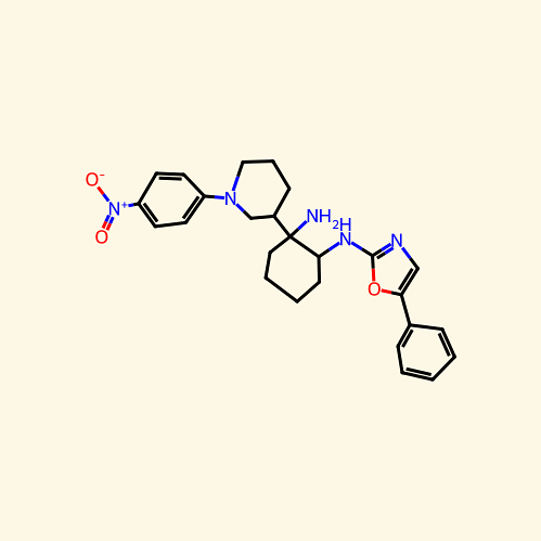 NC1(C2CCCN(c3ccc([N+](=O)[O-])cc3)C2)CCCCC1Nc1ncc(-c2ccccc2)o1